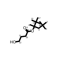 CC(C)(C)CC(C)(OC(=O)CCCO)C(C)(C)C